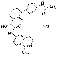 CC(=O)Nc1ccc(N2CCO[C@H]([C@@H](O)C(=O)Nc3ccc4c(N)nccc4c3)C2=O)cc1.Cl